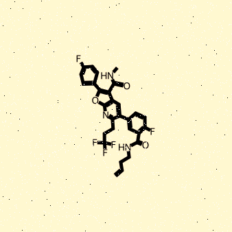 C=CCCNC(=O)c1cc(-c2cc3c(C(=O)NC)c(-c4ccc(F)cc4)oc3nc2CCC(F)(F)F)ccc1F